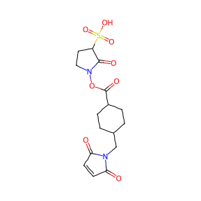 O=C(ON1CCC(S(=O)(=O)O)C1=O)C1CCC(CN2C(=O)C=CC2=O)CC1